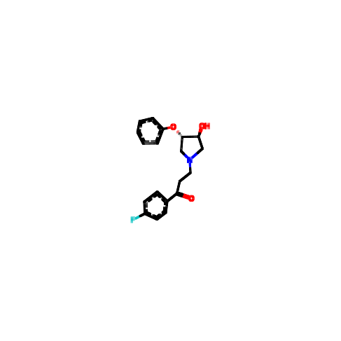 O=C(CCN1C[C@H](Oc2ccccc2)[C@@H](O)C1)c1ccc(F)cc1